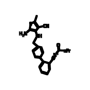 CCCC(=O)[N+]#Cc1ccccc1-c1ccc(CNc2c(N)sc(C)c2C#N)cc1